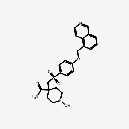 NC(=O)C1(CS(=O)(=O)c2ccc(OCc3cccc4cnccc34)cc2)CCN(O)CC1